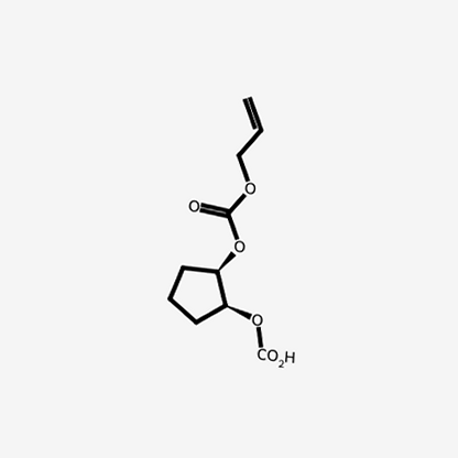 C=CCOC(=O)O[C@@H]1CCC[C@@H]1OC(=O)O